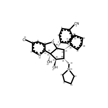 N#Cc1ccc([C@@]23Oc4cc(Cl)cnc4[C@]2(O)[C@H](O)[C@@H](CN2CCCC2)[C@H]3c2ccccc2)cc1